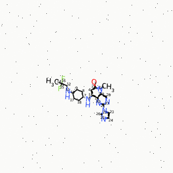 Cn1c(=O)cc(N[C@H]2CC[C@H](NCC(C)(F)F)CC2)c2nc(-n3ccnc3)ncc21